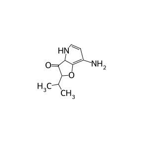 CC(C)C1OC2=C(N)C=CNC2C1=O